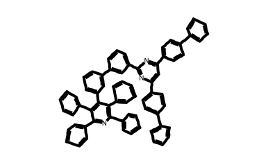 c1ccc(-c2ccc(-c3cc(-c4ccc(-c5ccccc5)cc4)nc(-c4cccc(-c5cccc(-c6c(-c7ccccc7)c(-c7ccccc7)nc(-c7ccccc7)c6-c6ccccc6)c5)c4)n3)cc2)cc1